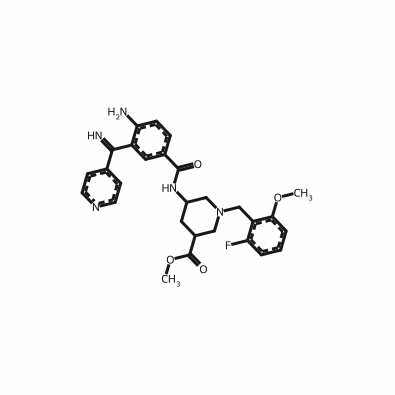 COC(=O)C1CC(NC(=O)c2ccc(N)c(C(=N)c3ccncc3)c2)CN(Cc2c(F)cccc2OC)C1